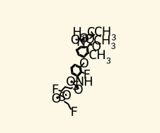 Cc1c(Oc2cccc(NS(=O)(=O)CCC(F)S(=O)(=O)CCCF)c2F)ccc([N+](=O)[O-])c1C(=O)OC(C)(C)C